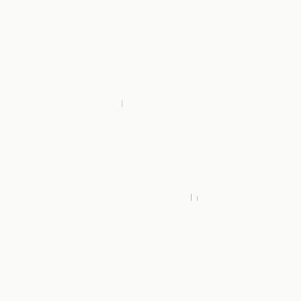 CCC[C@@H](C)C=CCC(=O)O